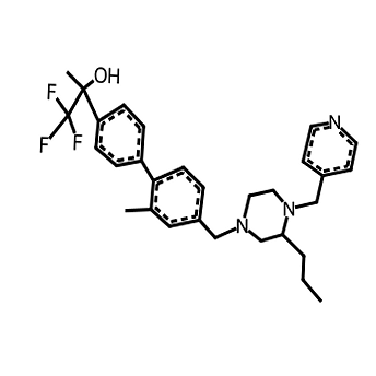 CCCC1CN(Cc2ccc(-c3ccc(C(C)(O)C(F)(F)F)cc3)c(C)c2)CCN1Cc1ccncc1